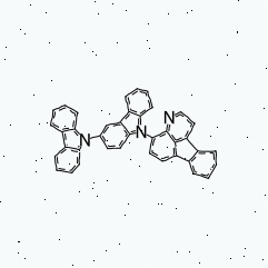 c1ccc2c(c1)-c1ccnc3c(-n4c5ccccc5c5cc(-n6c7ccccc7c7ccccc76)ccc54)ccc-2c13